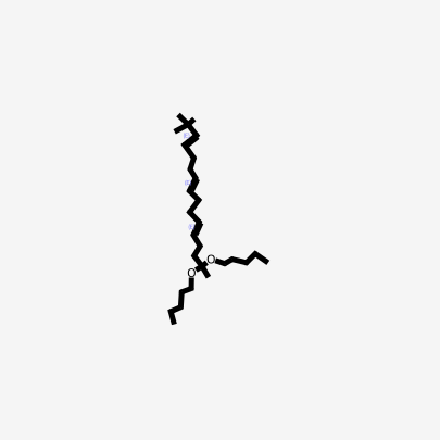 CCCCCOC(C)(CC/C=C/CC/C=C/CC/C=C/C(C)(C)C)OCCCCC